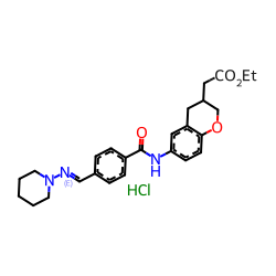 CCOC(=O)CC1COc2ccc(NC(=O)c3ccc(/C=N/N4CCCCC4)cc3)cc2C1.Cl